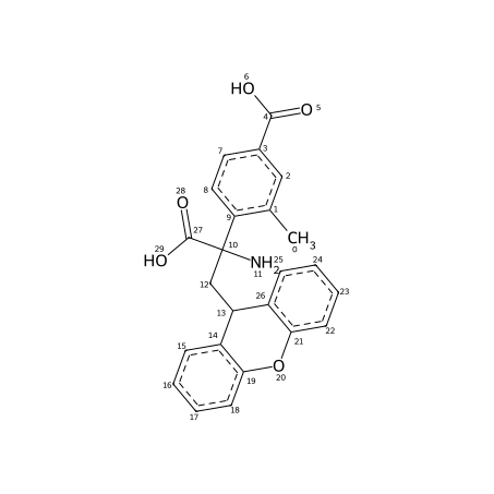 Cc1cc(C(=O)O)ccc1C(N)(CC1c2ccccc2Oc2ccccc21)C(=O)O